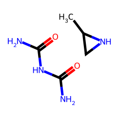 CC1CN1.NC(=O)NC(N)=O